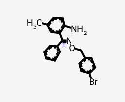 Cc1ccc(N)c(/C(=N/OCc2ccc(Br)cc2)c2ccccc2)c1